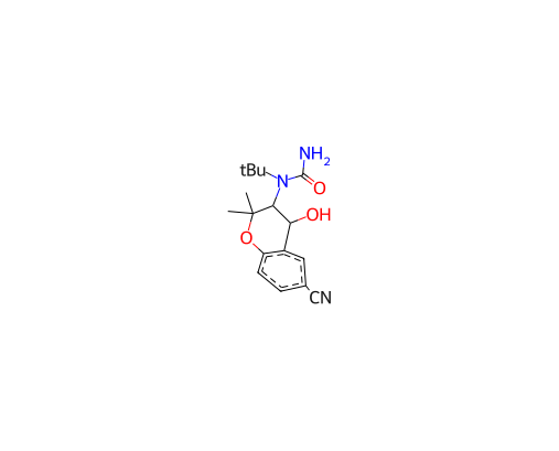 CC1(C)Oc2ccc(C#N)cc2C(O)C1N(C(N)=O)C(C)(C)C